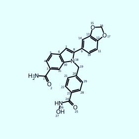 NC(=O)c1ccc2cc(-c3ccc4c(c3)OCO4)n(Cc3ccc(C(=O)NO)cc3)c2c1